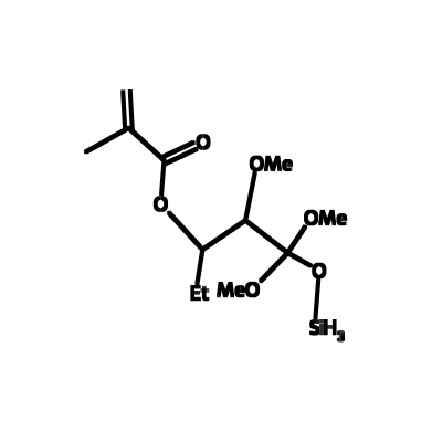 C=C(C)C(=O)OC(CC)C(OC)C(OC)(OC)O[SiH3]